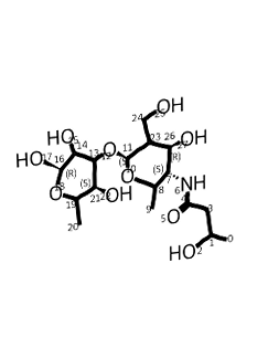 CC(O)CC(=O)N[C@@H]1C(C)O[C@@H](OC2C(O)[C@H](O)OC(C)[C@@H]2O)C(CO)[C@H]1O